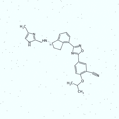 Cc1c[nH]c(CN[C@H]2CCc3c(-c4noc(-c5ccc(OC(C)C)c(C#N)c5)n4)cccc32)n1